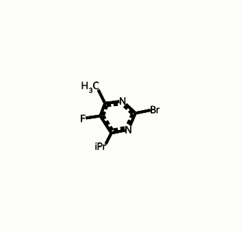 Cc1nc(Br)nc(C(C)C)c1F